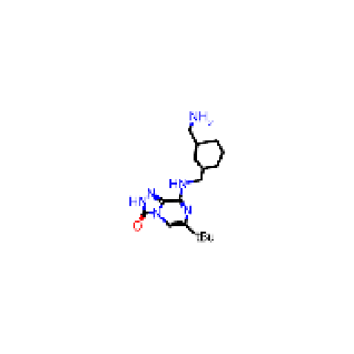 CC(C)(C)c1cn2c(=O)[nH]nc2c(NCC2CCCC(CN)C2)n1